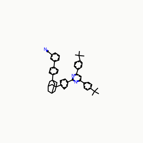 CC(C)(C)c1ccc(-c2cc(-c3ccc(C(C)(C)C)cc3)nc(-c3ccc(C45CC6CC(CC(c7ccc(-c8cccc(C#N)c8)cc7)(C6)C4)C5)cc3)n2)cc1